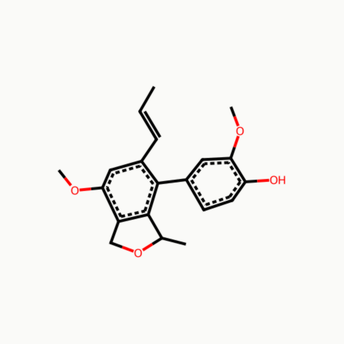 C/C=C/c1cc(OC)c2c(c1-c1ccc(O)c(OC)c1)C(C)OC2